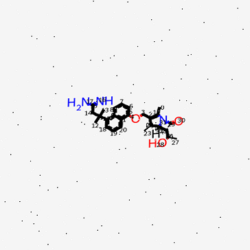 CC1=C(COc2cccc3c(C(C)(C)CC(=N)N)cccc23)[C@H](C)[C@@H]2[C@@H]([C@@H](C)O)C(=O)N12